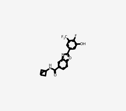 O=C(NC12CC(C1)C2)c1ccc2oc(-c3cc(O)c(F)c(C(F)(F)F)c3)nc2c1